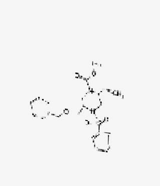 C=CC1CN(S(=O)(=O)c2ccccc2)C(COCc2ccccc2)CN1C(=O)OC(C)(C)C